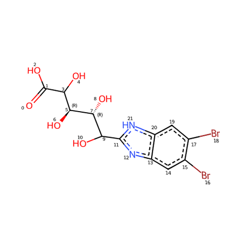 O=C(O)C(O)[C@H](O)[C@H](O)C(O)c1nc2cc(Br)c(Br)cc2[nH]1